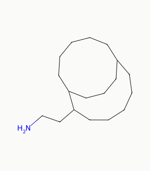 NCCC1CCCCCC2CCCCCC1CCC2